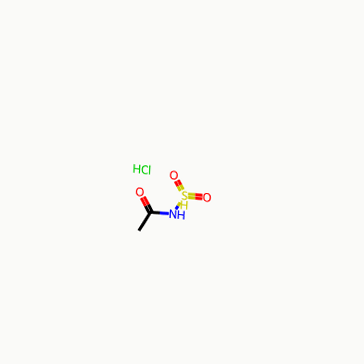 CC(=O)N[SH](=O)=O.Cl